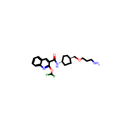 NCCCOC[C@H]1CC[C@H](NC(=O)c2cc3ccccc3nc2OC(F)F)CC1